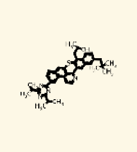 CC(C)Cc1c2c(cc3cc(CC(C)(C)C)ccc13)-c1nccc3c1c(cc1ccc(-c4nc(C(C)C)nc(C(C)C)n4)cc13)S2